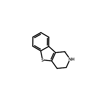 [CH]1NCCc2sc3ccccc3c21